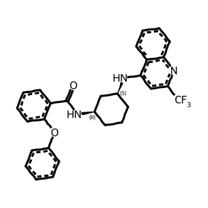 O=C(N[C@@H]1CCC[C@H](Nc2cc(C(F)(F)F)nc3ccccc23)C1)c1ccccc1Oc1ccccc1